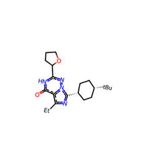 CCc1nc([C@H]2CC[C@@H](C(C)(C)C)CC2)n2nc(C3CCCO3)[nH]c(=O)c12